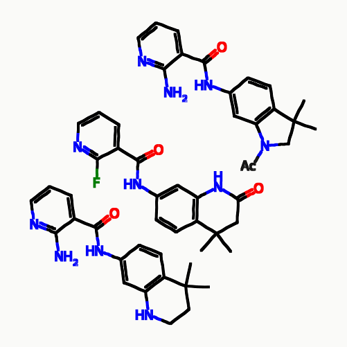 CC(=O)N1CC(C)(C)c2ccc(NC(=O)c3cccnc3N)cc21.CC1(C)CC(=O)Nc2cc(NC(=O)c3cccnc3F)ccc21.CC1(C)CCNc2cc(NC(=O)c3cccnc3N)ccc21